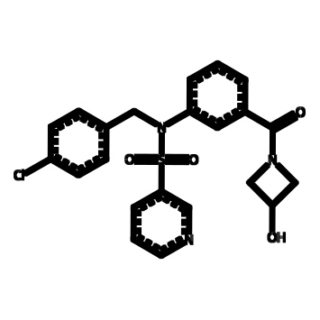 O=C(c1cccc(N(Cc2ccc(Cl)cc2)S(=O)(=O)c2cccnc2)c1)N1CC(O)C1